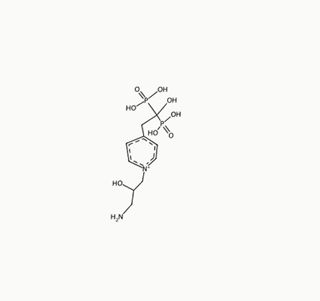 NCC(O)C[n+]1ccc(CC(O)(P(=O)(O)O)P(=O)(O)O)cc1